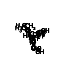 CC(C)(C)c1ccc(C(=O)Nc2cn3nc(N4CCCC(C(=O)O)C4)ccc3n2)cc1.O=C(O)C(F)(F)F.O=C(O)C(F)(F)F